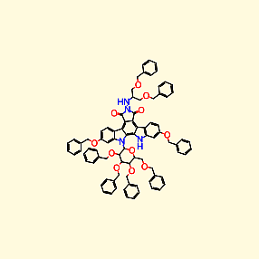 O=C1c2c(c3c4ccc(OCc5ccccc5)cc4n(C4OC(COCc5ccccc5)C(OCc5ccccc5)C(OCc5ccccc5)C4OCc4ccccc4)c3c3[nH]c4cc(OCc5ccccc5)ccc4c23)C(=O)N1NC(COCc1ccccc1)COCc1ccccc1